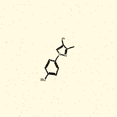 CCC(C)c1ccc(-n2cc(C(C)C)c(C)n2)cc1